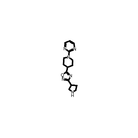 c1cnc(N2CCC(c3nc(C4CCNC4)no3)CC2)nc1